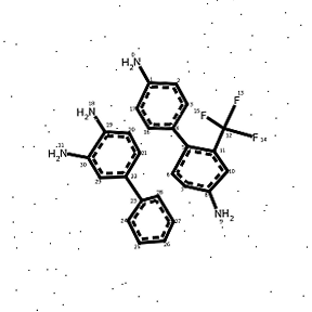 Nc1ccc(-c2ccc(N)cc2C(F)(F)F)cc1.Nc1ccc(-c2ccccc2)cc1N